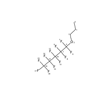 CCCOC(F)(F)C(F)(F)C(F)(F)C(F)(F)C(F)(F)F